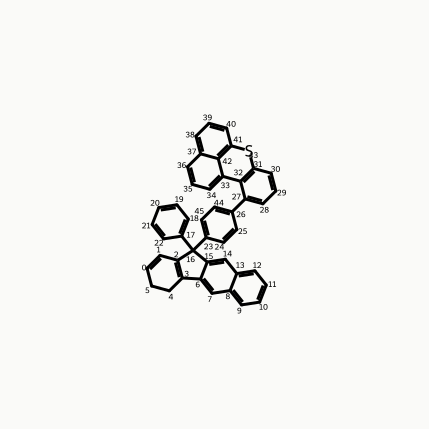 C1=CC2=C(CC1)c1cc3ccccc3cc1C2(c1ccccc1)c1ccc(-c2cccc3c2-c2cccc4cccc(c24)S3)cc1